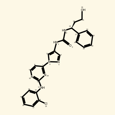 O=C(Nc1cnn(-c2ccnc(Nc3ccccc3Cl)n2)c1)N[C@@H](CCO)c1ccccc1